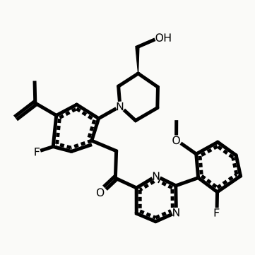 C=C(C)c1cc(N2CCC[C@H](CO)C2)c(CC(=O)c2ccnc(-c3c(F)cccc3OC)n2)cc1F